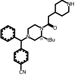 CC(C)(C)[C@H]1CN(C(c2ccccc2)c2ccc(C#N)cc2)CCN1C(=O)CC1CCNCC1